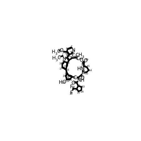 CCn1c(-c2cnccc2COC)c2c3cc(ccc31)-c1cc(O)cc(c1)C[C@H](NC(=O)C1CCCC1C(F)F)C(=O)N1CCC[C@H](N1)C(=O)OCC(C)(C)C2